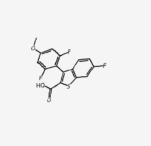 COc1cc(F)c(-c2c(C(=O)O)sc3cc(F)ccc23)c(F)c1